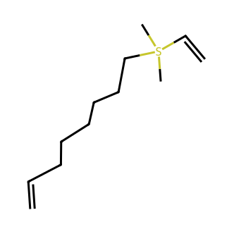 C=CCCCCCCS(C)(C)C=C